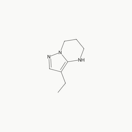 CCc1cnn2c1NCCC2